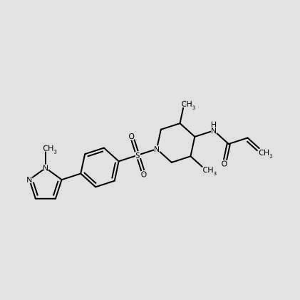 C=CC(=O)NC1C(C)CN(S(=O)(=O)c2ccc(-c3ccnn3C)cc2)CC1C